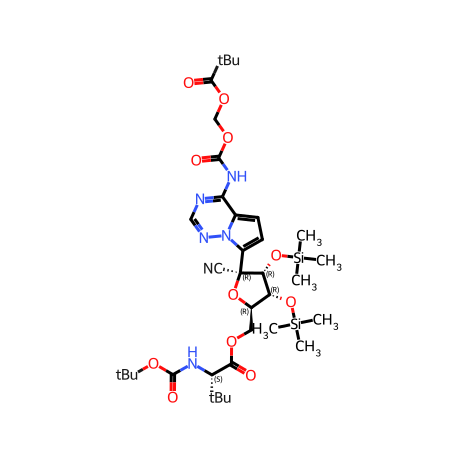 CC(C)(C)OC(=O)N[C@H](C(=O)OC[C@H]1O[C@@](C#N)(c2ccc3c(NC(=O)OCOC(=O)C(C)(C)C)ncnn23)[C@H](O[Si](C)(C)C)[C@@H]1O[Si](C)(C)C)C(C)(C)C